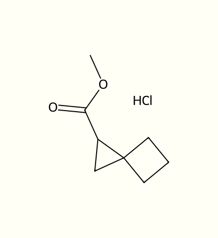 COC(=O)C1CC12CCC2.Cl